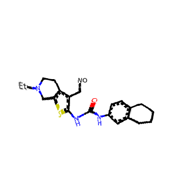 CCN1CCc2c(sc(NC(=O)Nc3ccc4c(c3)CCCC4)c2CN=O)C1